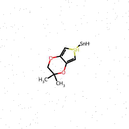 CC1(C)COC2=C[SH]([SnH])C=C2O1